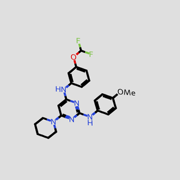 COc1ccc(Nc2nc(Nc3cccc(OC(F)F)c3)cc(N3CCCCC3)n2)cc1